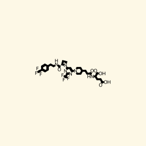 O=C(O)CCC(NC(=O)CCC1CCN(c2cc(N3CC[C@H]3C(=O)NCCc3ccc(C(F)(F)F)cc3)nc(C(F)(F)F)n2)CC1)C(=O)O